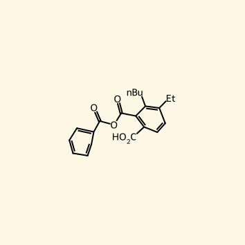 CCCCc1c(CC)ccc(C(=O)O)c1C(=O)OC(=O)c1ccccc1